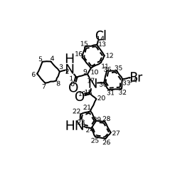 O=C(NC1CCCCC1)C(c1ccc(Cl)cc1)N(C(=O)Cc1c[nH]c2ccccc12)c1ccc(Br)cc1